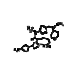 Cc1ccc(-c2ccc3c(c2)C(C(=O)N(C)c2ccc(CN(C)C4CCOCC4)cc2)=CCCC3)cc1.Cl